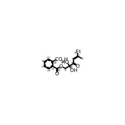 CCC(C)=CC(=O)C(O)(O)COC(=O)c1ccccc1C(=O)O